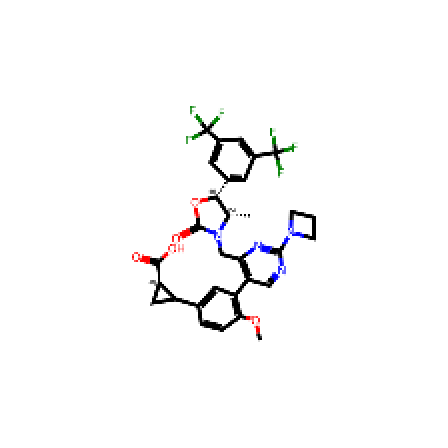 COc1ccc(C2C[C@H]2C(=O)O)cc1-c1cnc(N2CCC2)nc1CN1C(=O)O[C@H](c2cc(C(F)(F)F)cc(C(F)(F)F)c2)[C@@H]1C